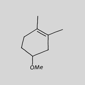 COC1CCC(C)=C(C)C1